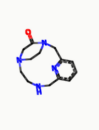 O=C1CN2CCNCc3cccc(n3)CN1CC2